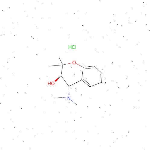 CN(C)[C@H]1c2ccccc2OC(C)(C)[C@@H]1O.Cl